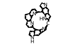 C1=c2c(cc3cc4cc5cc6cc7[nH]ccc7c(c7ccc8ccc9ccc(nc9c8n7)c2c3[nH]4)c6n5)=NC1